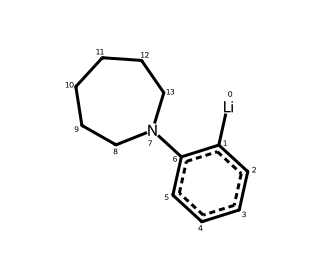 [Li][c]1ccccc1N1CCCCCC1